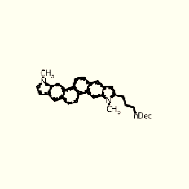 CCCCCCCCCCCCCc1cc2cc3ccc4c5cc6c(ccn6C)cc5ccc4c3cc2n1C